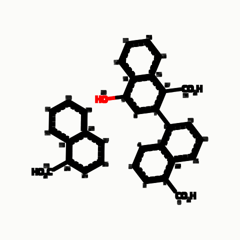 O=C(O)c1cccc2c(-c3cc(O)c4ccccc4c3C(=O)O)cccc12.O=C(O)c1cccc2ccccc12